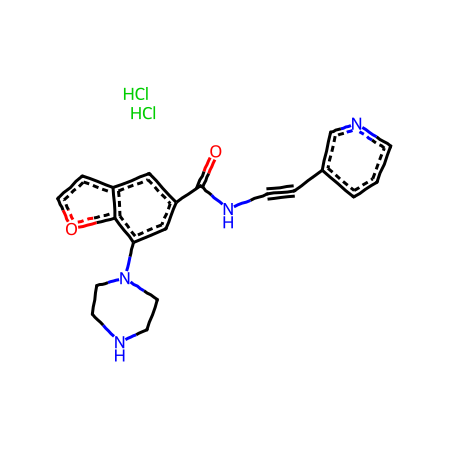 Cl.Cl.O=C(NC#Cc1cccnc1)c1cc(N2CCNCC2)c2occc2c1